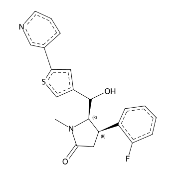 CN1C(=O)C[C@H](c2ccccc2F)[C@@H]1C(O)c1csc(-c2cccnc2)c1